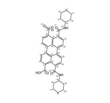 O=C(O)c1ccc2c3ccc(C(=O)O)c4c(C(=O)NC5CCCCC5)ccc(c5ccc(C(=O)NC6CCCCC6)c1c25)c43